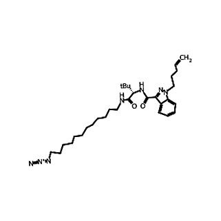 C=CCCCn1nc(C(=O)N[C@H](C(=O)NCCCCCCCCCCCCN=[N+]=[N-])C(C)(C)C)c2ccccc21